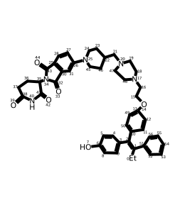 CC/C(=C(\c1ccc(O)cc1)c1ccc(OCCN2CCN(CC3CCN(c4ccc5c(c4)C(=O)N(C4CCC(=O)NC4=O)C5=O)CC3)CC2)cc1)c1ccccc1